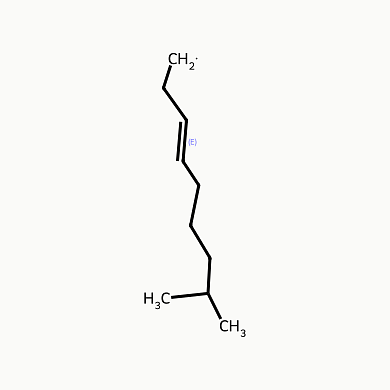 [CH2]C/C=C/CCCC(C)C